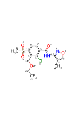 Cc1conc1NC(=O)c1ccc(S(C)(=O)=O)c(COCC(F)(F)F)c1Cl